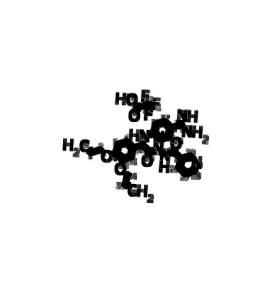 C=CCOc1ccc(C(Nc2ccc(C(=N)N)cc2)C(=O)NNC(=O)c2cccnc2)cc1OCC=C.O=C(O)C(F)(F)F